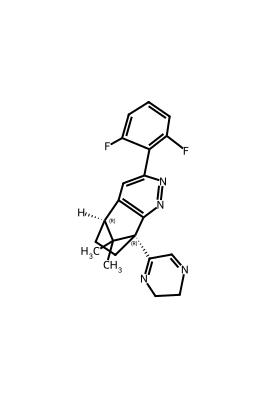 CC1(C)[C@H]2CC[C@]1(C1=NCCN=C1)c1nnc(-c3c(F)cccc3F)cc12